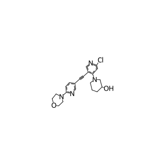 OC1CCCN(c2cc(Cl)ncc2C#Cc2ccc(N3CCOCC3)nc2)C1